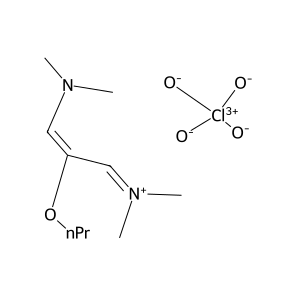 CCCOC(=CN(C)C)C=[N+](C)C.[O-][Cl+3]([O-])([O-])[O-]